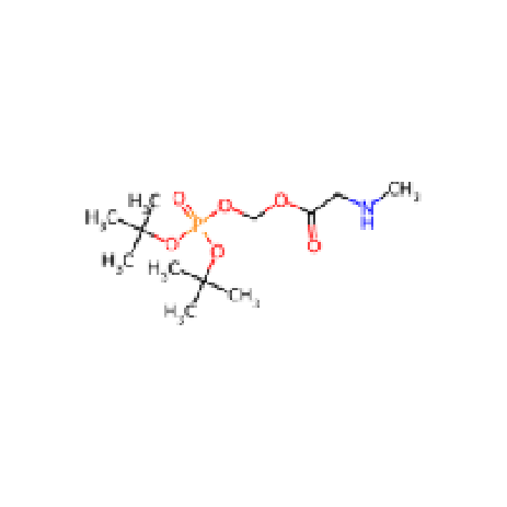 CNCC(=O)OCOP(=O)(OC(C)(C)C)OC(C)(C)C